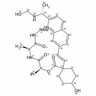 CNNC(=O)[C@H](C)NC(=O)[C@@H](OC(=O)C1(/C=C/c2ccc3ccc([C@@H](C)NCO)nc3c2)CCC(O)CC1)C(C)C